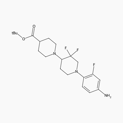 CC(C)(C)OC(=O)C1CCN(C2CCN(c3ccc(N)cc3F)CC2(F)F)CC1